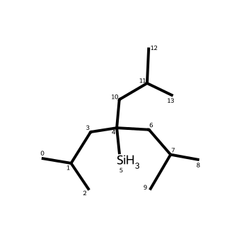 CC(C)CC([SiH3])(CC(C)C)CC(C)C